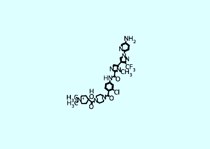 Cn1c(-c2cn(-c3ccc(N)cn3)nc2C(F)(F)F)cnc1C(=O)Nc1ccc(C(=O)N2CCN(C(=O)C3(O)CC[N+](C)(C)CC3)CC2)c(Cl)c1